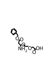 NC(CC(=O)OCc1ccccc1)OCCOCC(=O)O